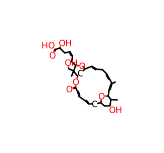 CC1=C\C2OC(C/C=C/C=C/C(=O)OC3CC(/C=C/C\C=C\1)OC(C/C=C\CC(O)C(=O)O)C3(C)CO)CC(O)C2C